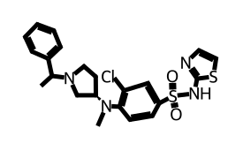 CC(c1ccccc1)N1CC[C@H](N(C)c2ccc(S(=O)(=O)Nc3nccs3)cc2Cl)C1